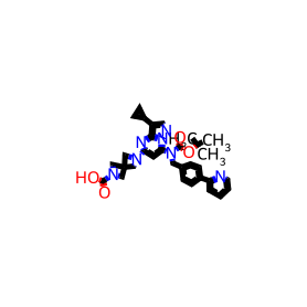 CC(C)(C)OC(=O)N(Cc1ccc(-c2ccccn2)cc1)c1cc(N2CC3(CN(C(=O)O)C3)C2)nc2c(C3CC3)cnn12